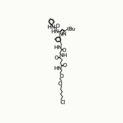 CC(C)(C)c1cc(NC(=O)Nc2ccccc2)n(-c2cccc(CNC(=O)CNC(=O)CCC(=O)NCCOCCOCCCCCCCl)c2)n1